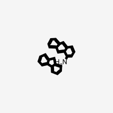 Nc1cccc2cc3ccccc3cc12.c1ccc2c(c1)Cc1ccccc1-2